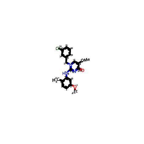 CCOc1ccc(C)c(Nc2nc(=O)c(OC)cn2Cc2cccc(Cl)c2)c1